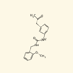 COc1ccccc1CNC(=O)Nc1cccc(CC(C)=O)c1